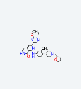 COc1cncc(-c2cc3cc[nH]c(=O)c3c(Nc3ccc(C4CCN(CC5CCCO5)CC4)c(C)c3)n2)n1